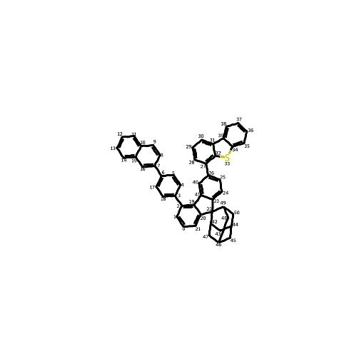 c1cc(-c2ccc(-c3ccc4ccccc4c3)cc2)c2c(c1)C1(c3ccc(-c4cccc5c4sc4ccccc45)cc3-2)C2CC3CC(C2)CC1C3